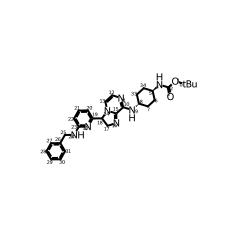 CC(C)(C)OC(=O)N[C@H]1CC[C@H](NC2=NC=CN3C2=NCC3c2cccc(NCc3ccccc3)n2)CC1